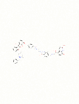 O=C(NCCNC(=O)c1ccc(COc2cccc([C@](O)(C(=O)OCC3CCN(Cc4ccccc4)CC3)c3ccccc3)c2)cc1)c1ccc(CNC[C@H](O)c2ccc(O)c3[nH]c(=O)ccc23)cc1